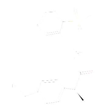 CC(C)Cc1ccc([C@H](C)C(=O)ONS(=O)(=O)c2ccccc2S(C)(=O)=O)cc1